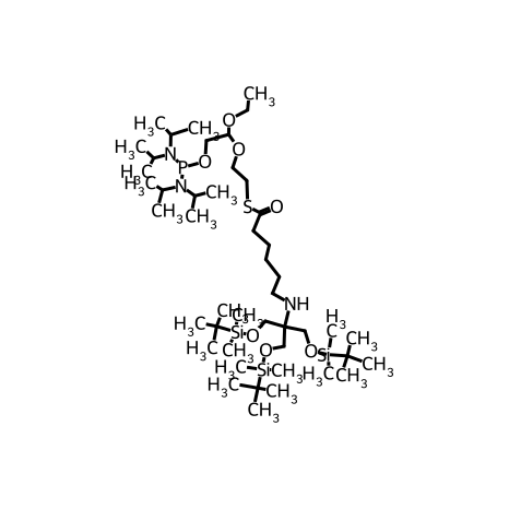 CCOC(COP(N(C(C)C)C(C)C)N(C(C)C)C(C)C)OCCSC(=O)CCCCCNC(CO[Si](C)(C)C(C)(C)C)(CO[Si](C)(C)C(C)(C)C)CO[Si](C)(C)C(C)(C)C